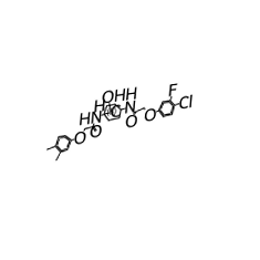 Cc1ccc(OCC(=O)NC23CCC(NC(=O)COc4ccc(Cl)c(F)c4)(CC2)C[C@@H]3O)cc1C